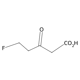 O=C(O)CC(=O)CCF